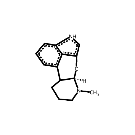 CN1CCCC2c3cccc4[nH]cc(c34)C[C@H]21